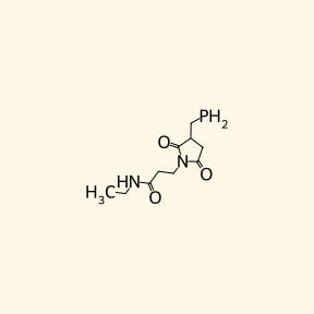 CCNC(=O)CCN1C(=O)CC(CP)C1=O